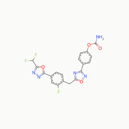 NC(=O)Oc1ccc(-c2noc(Cc3ccc(-c4nnc(C(F)F)o4)cc3F)n2)cc1